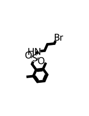 Cc1cccc(C)c1CS(=O)(=O)NCCCBr